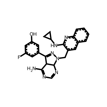 NC1=NC=NC2C1C(c1cc(O)cc(F)c1)=NN2Cc1cc2ccccc2nc1NC1CC1